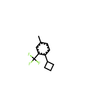 Cc1ccc(C2CCC2)c(C(F)(F)F)c1